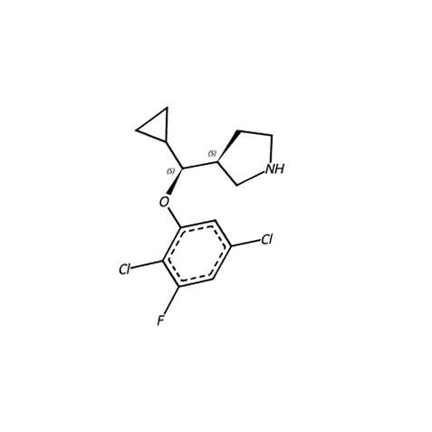 Fc1cc(Cl)cc(O[C@@H](C2CC2)[C@H]2CCNC2)c1Cl